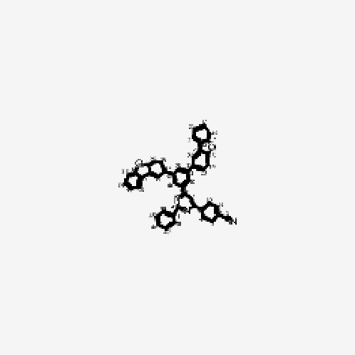 N#Cc1ccc(-c2cc(-c3cc(-c4ccc5oc6ccccc6c5c4)cc(-c4ccc5oc6ccccc6c5c4)c3)nc(-c3ccccc3)n2)cc1